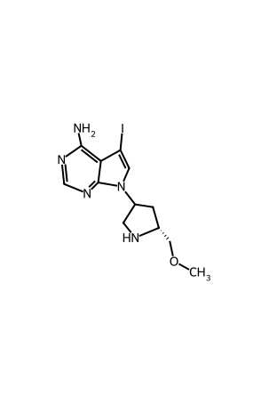 COC[C@H]1CC(n2cc(I)c3c(N)ncnc32)CN1